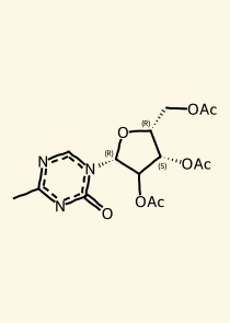 CC(=O)OC[C@H]1O[C@@H](n2cnc(C)nc2=O)C(OC(C)=O)[C@H]1OC(C)=O